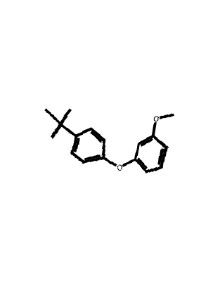 COc1cccc(Oc2ccc(C(C)(C)C)cc2)c1